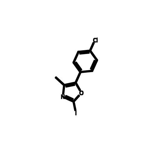 Cc1nc(I)oc1-c1ccc(Cl)cc1